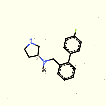 CC(C)N(Cc1ccccc1-c1ccc(F)cc1)[C@H]1CCNC1